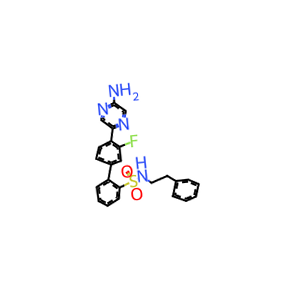 Nc1cnc(-c2ccc(-c3ccccc3S(=O)(=O)NCCc3ccccc3)cc2F)cn1